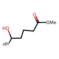 CCCC(O)CCCC(=O)OC